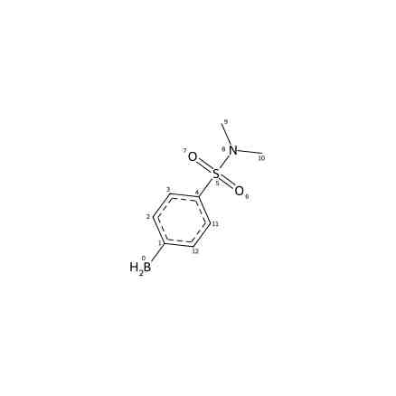 Bc1ccc(S(=O)(=O)N(C)C)cc1